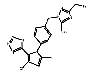 CCCCc1nc(CC(C)C)nn1Cc1ccc(-n2c(Cl)cc(Cl)c2-c2nnn[nH]2)cc1